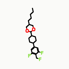 CCCCCC1COC(C2CCC(c3cc(F)c(CF)c(F)c3)CC2)OC1